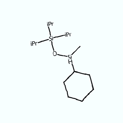 CC(C)[Si](O[SiH](C)C1CCCCC1)(C(C)C)C(C)C